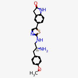 COc1ccc(C[C@H](N)CNc2ncc(-c3ccc4c(c3)CC(=O)N4)s2)cc1